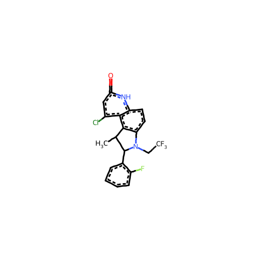 CC1c2c(ccc3[nH]c(=O)cc(Cl)c23)N(CC(F)(F)F)C1c1ccccc1F